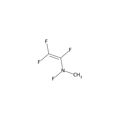 CN(F)C(F)=C(F)F